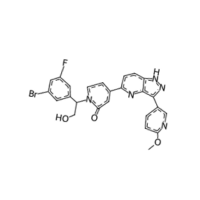 COc1ccc(-c2n[nH]c3ccc(-c4ccn(C(CO)c5cc(F)cc(Br)c5)c(=O)c4)nc23)cn1